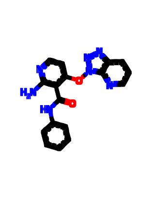 Nc1nccc(On2nnc3cccnc32)c1C(=O)Nc1ccccc1